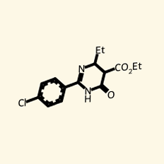 CCOC(=O)C1C(=O)NC(c2ccc(Cl)cc2)=NC1CC